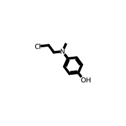 CN(CCCl)c1ccc(O)cc1